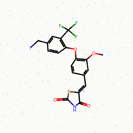 COc1cc(/C=C2\SC(=O)NC2=O)ccc1Oc1ccc(CI)cc1C(F)(F)F